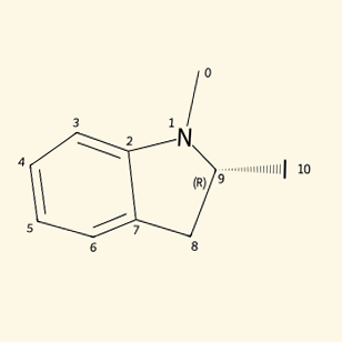 CN1c2ccccc2C[C@H]1I